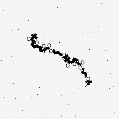 CC(C)(C)OCCCCOC(=O)c1ccc(C(=O)C(C)(C)C(C)(C)OCCCCOC(=O)c2ccc(-c3ccc(C(=O)C(C)(C)C)o3)o2)o1